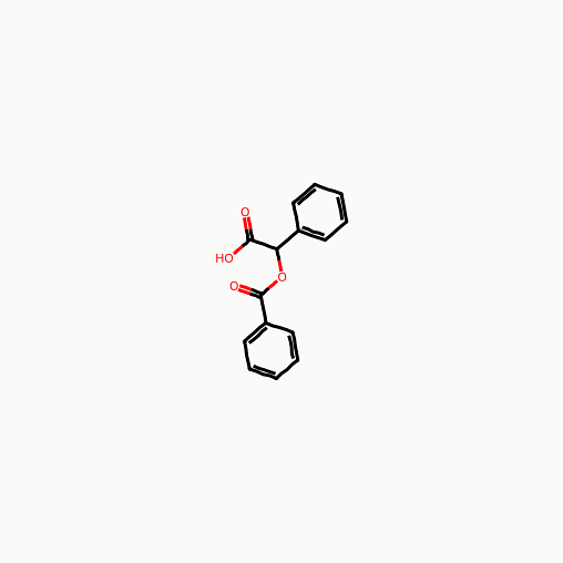 O=C(OC(C(=O)O)c1ccccc1)c1ccccc1